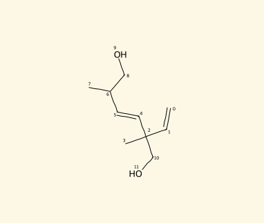 C=CC(C)(C=CC(C)CO)CO